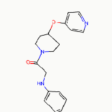 O=C(CNc1ccccc1)N1CCC(Oc2ccncc2)CC1